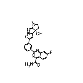 CN1CC[C@@](O)(c2cc(-c3cccc(-c4nc(C(N)=O)c5ccc(F)cc5n4)c3)on2)C1=O